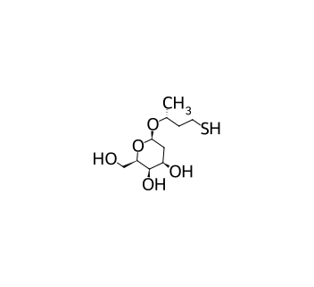 C[C@H](CCS)O[C@H]1C[C@@H](O)[C@@H](O)[C@@H](CO)O1